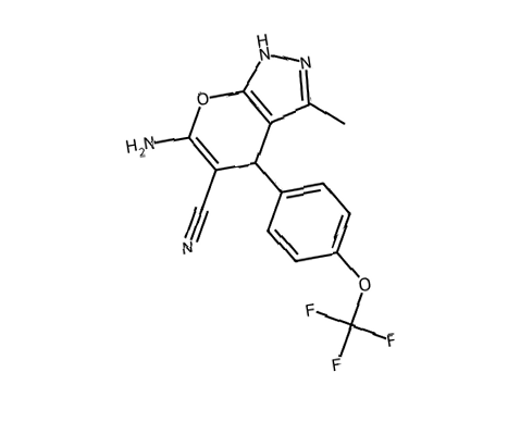 Cc1n[nH]c2c1C(c1ccc(OC(F)(F)F)cc1)C(C#N)=C(N)O2